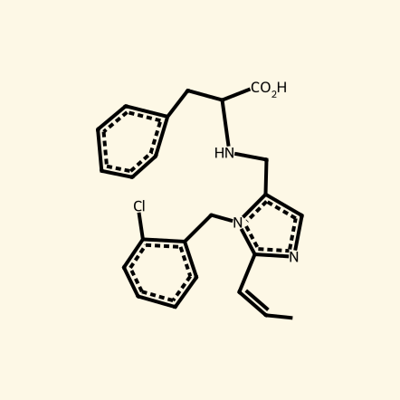 C/C=C\c1ncc(CNC(Cc2ccccc2)C(=O)O)n1Cc1ccccc1Cl